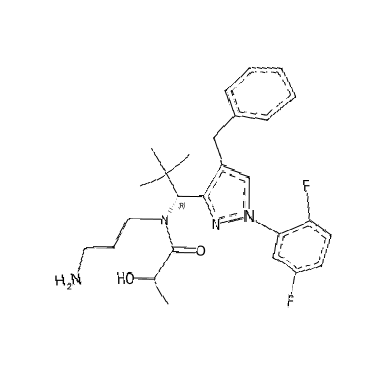 CC(O)C(=O)N(CCCN)[C@@H](c1nn(-c2cc(F)ccc2F)cc1Cc1ccccc1)C(C)(C)C